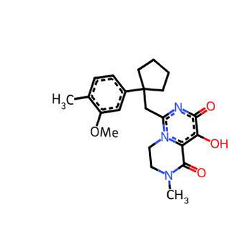 COc1cc(C2(Cc3nc(=O)c(O)c4n3CCN(C)C4=O)CCCC2)ccc1C